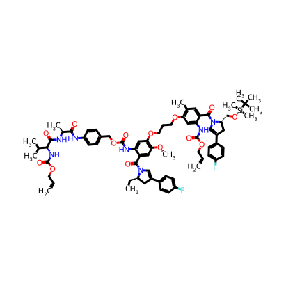 C=CCOC(=O)Nc1cc(OCCCOc2cc(NC(=O)OCc3ccc(NC(=O)[C@H](C)NC(=O)[C@@H](NC(=O)OCC=C)C(C)C)cc3)c(C(=O)N3C=C(c4ccc(F)cc4)C[C@H]3CC)cc2OC)c(C)cc1C(=O)N1C=C(c2ccc(F)cc2)C[C@H]1CO[Si](C)(C)C(C)(C)C